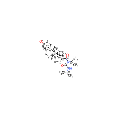 C[C@]12CCC(=O)C=C1CC[C@@H]1[C@H]2CC[C@]2(C)C(C(=O)N(C(=O)NC(C(F)(F)F)C(F)(F)F)C(C(F)(F)F)C(F)(F)F)CC[C@@H]12